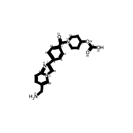 NCc1ccc2nc(-c3ccc(C(=O)N4CCC(OC(=O)O)CC4)cc3)cn2c1